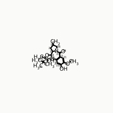 C=C1CC2C(O[Si](C)(C)C(C)(C)C)Nc3cc(O)c(OC)cc3C(=O)N2C1